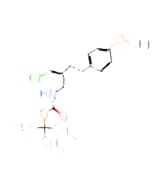 COc1ccc(CC/C(=C/Cl)CNC(=O)OC(C)(C)C)cc1